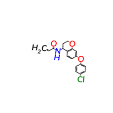 C=CC(=O)NC1CCOc2cc(Oc3ccc(Cl)cc3)ccc21